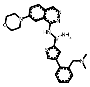 CN(C)Cc1ccccc1-c1csc([C@@H](N)Nc2nncc3ccc(N4CCOCC4)cc23)c1